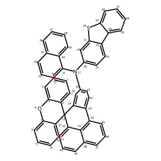 c1ccc2c(c1)Oc1ccccc1C21c2cc(N(c3ccc4c(c3)sc3ccccc34)c3cccc4ccccc34)ccc2-c2cccc3cccc1c23